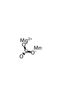 O=[Si]([O-])[O-].[Mg+2].[Mn]